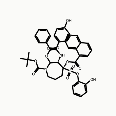 CC(C)(C)OC(=O)N1CCC[C@@](OC(=O)c2cccc3ccccc23)(S(=O)(=O)Oc2ccccc2O)[C@H](NC(=O)c2ccc(O)cc2)C1OC(=O)c1ccccc1